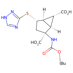 CC(C)(C)OC(=O)N[C@@]1(C(=O)O)C[C@H](Sc2nc[nH]n2)[C@H]2[C@H](C(=O)O)[C@H]21